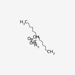 CCCCCCCCCCCCCC.CP(=O)(O)O